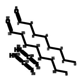 CCCCCCCC=O.CCCCCCCC=O.N=C=S.N=C=S